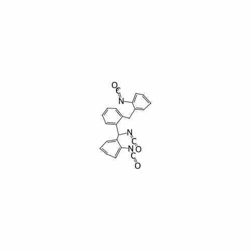 O=C=Nc1ccccc1Cc1ccccc1C(N=C=O)c1ccccc1N=C=O